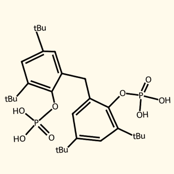 CC(C)(C)c1cc(Cc2cc(C(C)(C)C)cc(C(C)(C)C)c2OP(=O)(O)O)c(OP(=O)(O)O)c(C(C)(C)C)c1